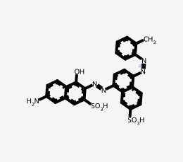 Cc1ccccc1/N=N\c1ccc(N=Nc2c(S(=O)(=O)O)cc3cc(N)ccc3c2O)c2cc(S(=O)(=O)O)ccc12